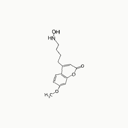 COc1ccc2c(CCCCNO)cc(=O)oc2c1